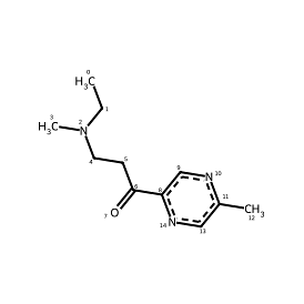 CCN(C)CCC(=O)c1cnc(C)cn1